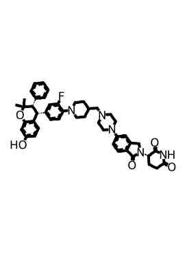 CC1(C)Oc2cc(O)ccc2[C@@H](c2ccc(N3CCC(CN4CCN(c5ccc6c(c5)CN([C@H]5CCC(=O)NC5=O)C6=O)CC4)CC3)c(F)c2)[C@H]1c1ccccc1